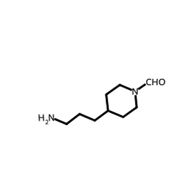 NCCCC1CCN(C=O)CC1